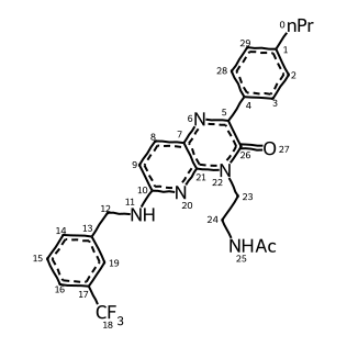 CCCc1ccc(-c2nc3ccc(NCc4cccc(C(F)(F)F)c4)nc3n(CCNC(C)=O)c2=O)cc1